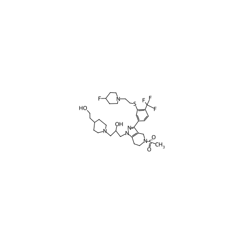 CS(=O)(=O)N1CCc2c(c(-c3ccc(C(F)(F)F)c(SCCN4CCC(F)CC4)c3)nn2CC(O)CN2CCC(CCO)CC2)C1